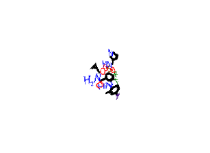 Cc1cc(I)ccc1Nc1c(F)c(F)c(S(=O)(=O)NCc2cccnc2)c(OCC2CC2)c1C(N)=O